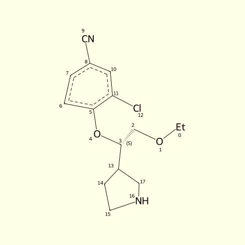 CCOC[C@@H](Oc1ccc(C#N)cc1Cl)C1CCNC1